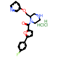 Cl.Cl.O=C(c1ccc(-c2ccc(F)cc2)o1)N1CCNCC1COc1cccnc1